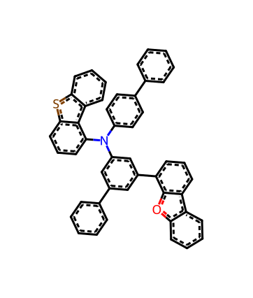 c1ccc(-c2ccc(N(c3cc(-c4ccccc4)cc(-c4cccc5c4oc4ccccc45)c3)c3cccc4sc5ccccc5c34)cc2)cc1